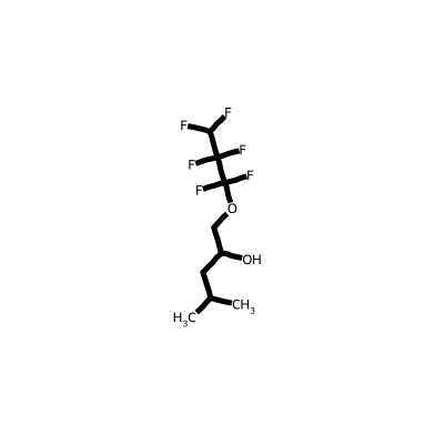 CC(C)CC(O)COC(F)(F)C(F)(F)C(F)F